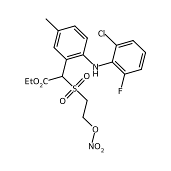 CCOC(=O)C(c1cc(C)ccc1Nc1c(F)cccc1Cl)S(=O)(=O)CCO[N+](=O)[O-]